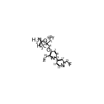 CC(C)CC(C)(COc1ccc(-c2ccnc(CF)c2)nc1CF)OC(N)=O